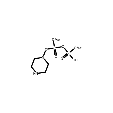 COP(=O)(O)OP(=O)(OC)ON1CCNCC1